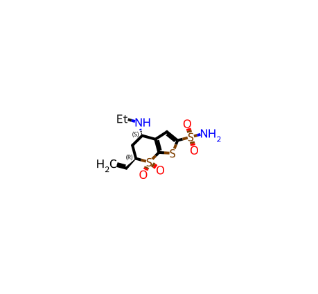 C=C[C@H]1C[C@H](NCC)c2cc(S(N)(=O)=O)sc2S1(=O)=O